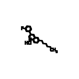 CCCCCCc1ccc2ncc(-c3cccc(F)c3)cc2c1.Cl